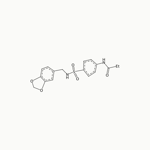 CCC(=O)Nc1ccc(S(=O)(=O)NCc2ccc3c(c2)OCO3)cc1